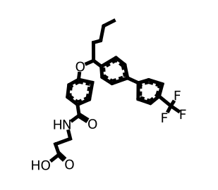 CCCCC(Oc1ccc(C(=O)NCCC(=O)O)cc1)c1ccc(-c2ccc(C(F)(F)F)cc2)cc1